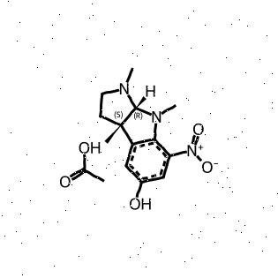 CC(=O)O.CN1CC[C@@]2(C)c3cc(O)cc([N+](=O)[O-])c3N(C)[C@@H]12